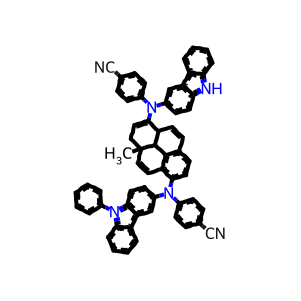 CC12C=Cc3c(N(c4ccc(C#N)cc4)c4ccc5c(c4)c4ccccc4n5-c4ccccc4)ccc4c3C1C(C=C4)C(N(c1ccc(C#N)cc1)c1ccc3[nH]c4ccccc4c3c1)=CC2